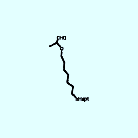 CCCCCCCCCCCCCCOC(C)C=O